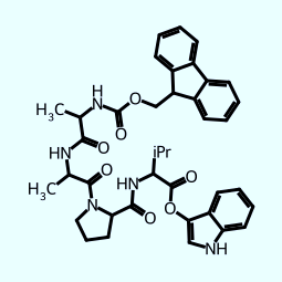 CC(NC(=O)OCC1c2ccccc2-c2ccccc21)C(=O)NC(C)C(=O)N1CCCC1C(=O)NC(C(=O)Oc1c[nH]c2ccccc12)C(C)C